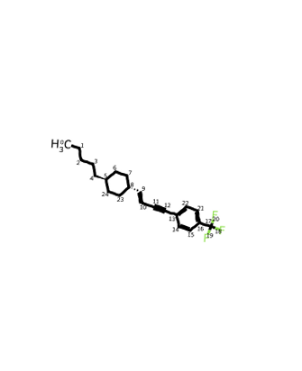 CCCCC[C@H]1CC[C@H](C=CC#Cc2ccc(C(F)(F)F)cc2)CC1